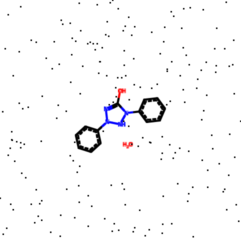 O.OC1=NN(c2ccccc2)NN1c1ccccc1